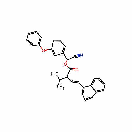 CC(C)C(/C=C/c1cccc2ccccc12)C(=O)OC(C#N)c1cccc(Oc2ccccc2)c1